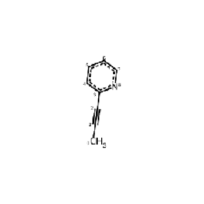 CC#Cc1ccccn1